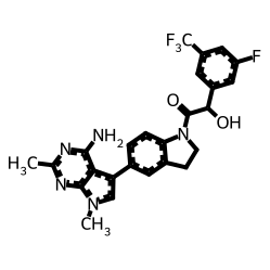 Cc1nc(N)c2c(-c3ccc4c(c3)CCN4C(=O)C(O)c3cc(F)cc(C(F)(F)F)c3)cn(C)c2n1